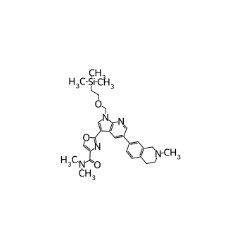 CN1CCc2ccc(-c3cnc4c(c3)c(-c3nc(C(=O)N(C)C)co3)cn4COCC[Si](C)(C)C)cc2C1